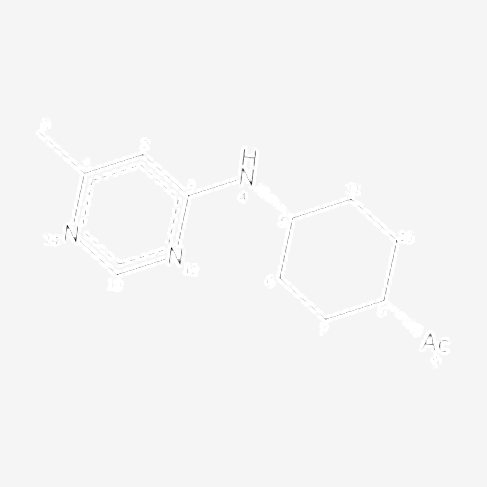 Cc1cc(N[C@H]2CC[C@@H](C(C)=O)CC2)ncn1